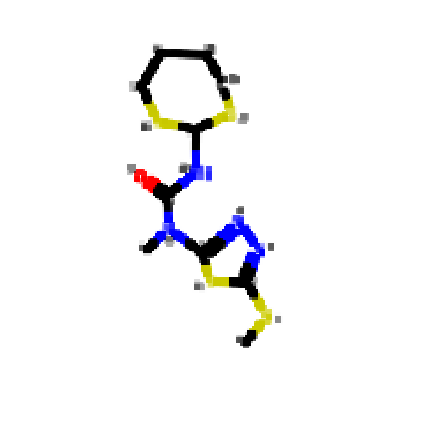 CSc1nnc(N(C)C(=O)NC2SCCCCS2)s1